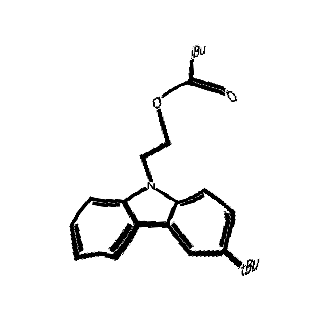 CCC(C)C(=O)OCCn1c2ccccc2c2cc(C(C)(C)C)ccc21